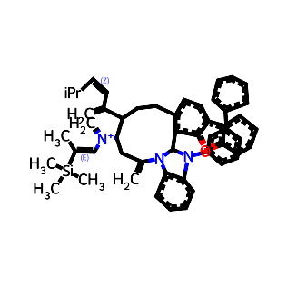 C=C(/C=C\C(C)C)C1CCc2ccc3c(oc4ccccc43)c2C2N(C(=C)CC1[N+](=C)/C=C(\C)[Si](C)(C)C)c1ccccc1N2c1cccc(-c2ccccc2)c1